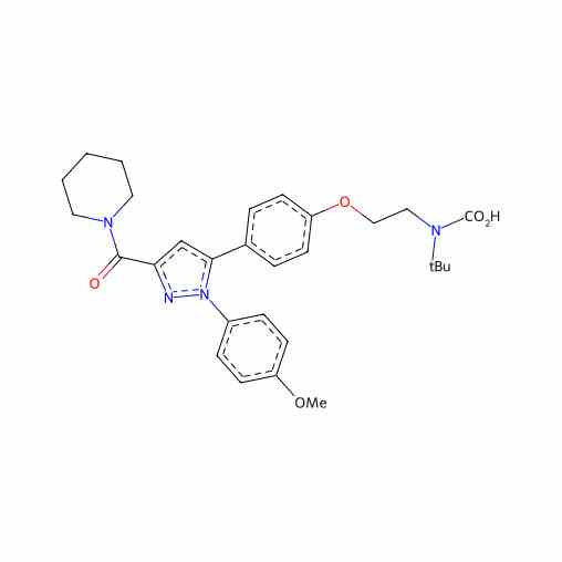 COc1ccc(-n2nc(C(=O)N3CCCCC3)cc2-c2ccc(OCCN(C(=O)O)C(C)(C)C)cc2)cc1